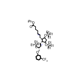 CC[Si](CC)(CC)O[C@H](/C=C/[C@@H]1[C@@H](C/C=C/CCCC(=O)OC(C)C)[C@@H](O[Si](CC)(CC)CC)C[C@H]1O[Si](CC)(CC)CC)COc1cccc(C(F)(F)F)c1